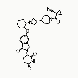 N#CC1(C(=O)N2CCC(C3CN([C@@H]4CCCC[C@@H]4Oc4ccc5c(c4)CN(C4CCC(=O)NC4=O)C5=O)C3)CC2)CC1